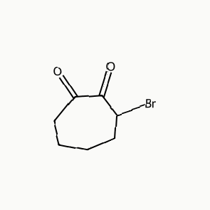 O=C1CCCCC(Br)C1=O